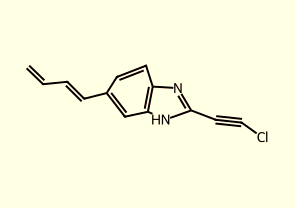 C=C/C=C/c1ccc2nc(C#CCl)[nH]c2c1